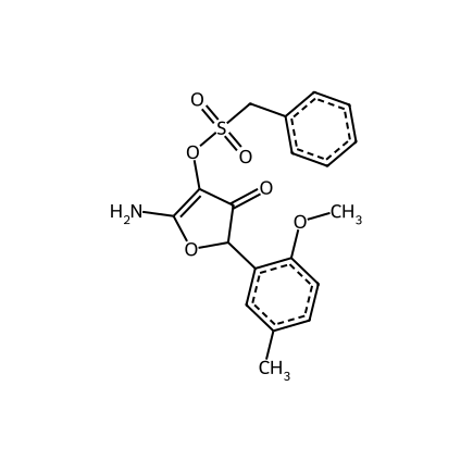 COc1ccc(C)cc1C1OC(N)=C(OS(=O)(=O)Cc2ccccc2)C1=O